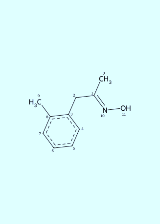 CC(Cc1ccccc1C)=NO